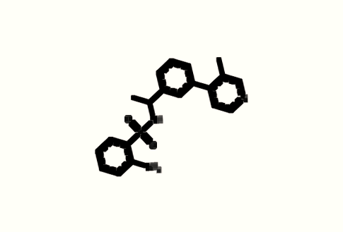 Cc1cnccc1-c1cccc(C(C)NS(=O)(=O)c2ccccc2N)c1